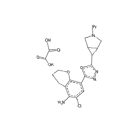 CC(C)N1CC2C(C1)C2c1nnc(-c2cc(Cl)c(N)c3c2OCCC3)o1.O=C(O)C(=O)O